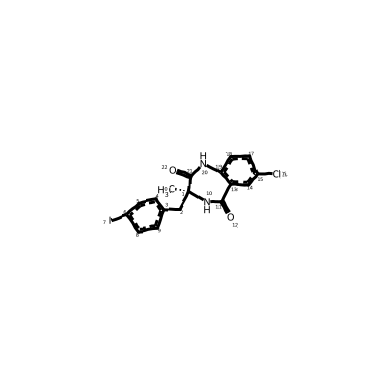 C[C@@]1(Cc2ccc(I)cc2)NC(=O)c2cc(Cl)ccc2NC1=O